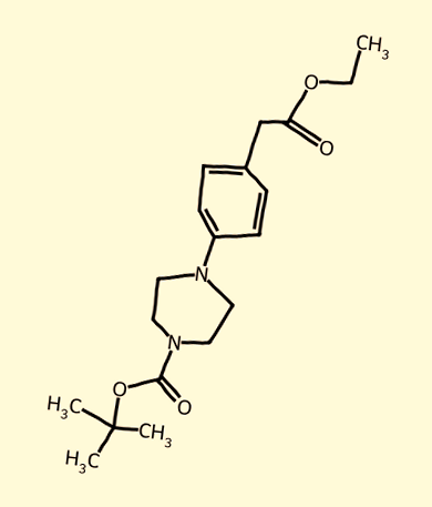 CCOC(=O)Cc1ccc(N2CCN(C(=O)OC(C)(C)C)CC2)cc1